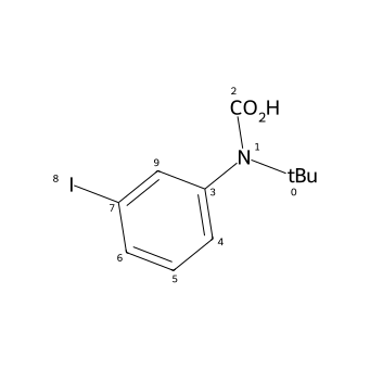 CC(C)(C)N(C(=O)O)c1cccc(I)c1